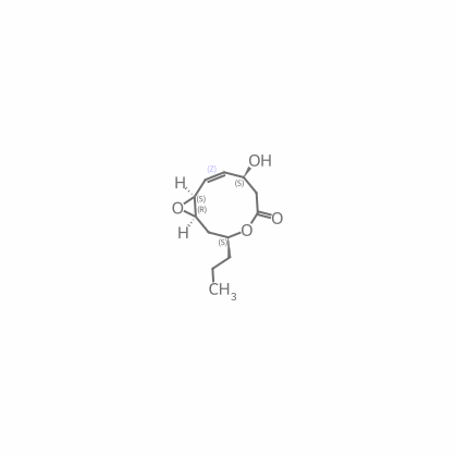 CCC[C@H]1C[C@H]2O[C@H]2/C=C\[C@@H](O)CC(=O)O1